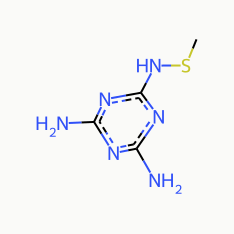 CSNc1nc(N)nc(N)n1